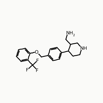 NCC1CNCCC1c1ccc(COc2ccccc2C(F)(F)F)cc1